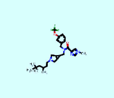 CC(CCN1CC2C(C1)C2CN(Cc1cccc(OC(F)(F)F)c1)C(=O)c1cn(C)cn1)CC(C)(C)C